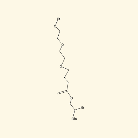 CCCCC(CC)COC(=O)CCCOCCOCCOCC